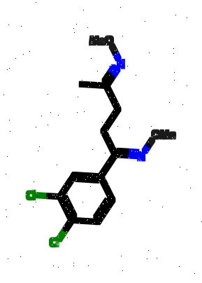 CO/N=C(\C)CC/C(=N\OC)c1ccc(Cl)c(Cl)c1